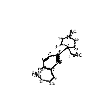 CC(=O)CC1(c2ccc3c(c2)CCCNO3)CCN(C(C)=O)CC1